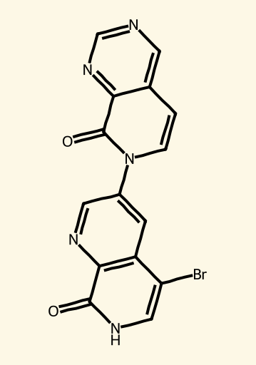 O=c1[nH]cc(Br)c2cc(-n3ccc4cncnc4c3=O)cnc12